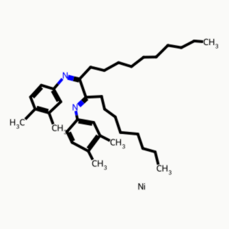 CCCCCCCCCCC(=Nc1ccc(C)c(C)c1)C(CCCCCCCC)=Nc1ccc(C)c(C)c1.[Ni]